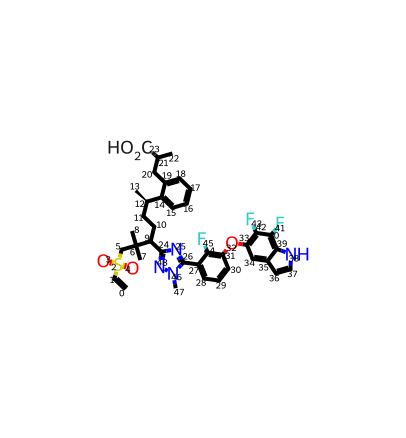 C=CS(=O)(=O)CC(C)(C)C(CC[C@@H](C)c1ccccc1CC(C)C(=O)O)c1nc(-c2cccc(Oc3cc4cc[nH]c4c(F)c3F)c2F)n(C)n1